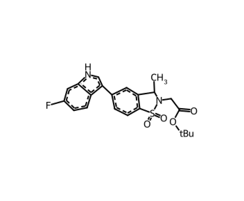 CC1c2cc(-c3c[nH]c4cc(F)ccc34)ccc2S(=O)(=O)N1CC(=O)OC(C)(C)C